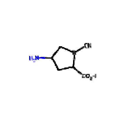 N#CB1CC(N)CC1C(=O)O